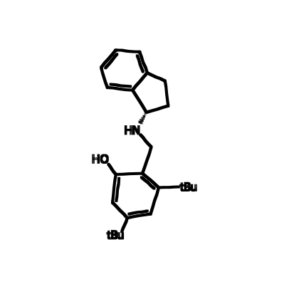 CC(C)(C)c1cc(O)c(CN[C@H]2CCc3ccccc32)c(C(C)(C)C)c1